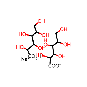 O=C(O)C(O)C(O)C(O)C(O)CO.O=C([O-])C(O)C(O)C(O)C(O)CO.[Na+]